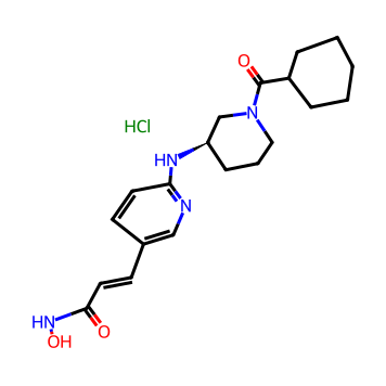 Cl.O=C(/C=C/c1ccc(N[C@@H]2CCCN(C(=O)C3CCCCC3)C2)nc1)NO